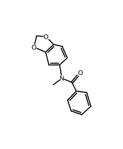 CN(C(=O)c1ccccc1)c1ccc2c(c1)OCO2